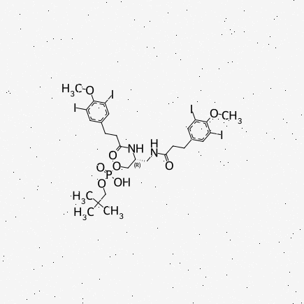 COc1c(I)cc(CCC(=O)NC[C@H](COP(=O)(O)OCC(C)(C)C)NC(=O)CCc2cc(I)c(OC)c(I)c2)cc1I